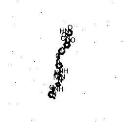 Cc1cccc(C(=O)NC2CC(n3cnc4c(NC5CCN(CCOC6CCN(c7ccc8c(c7)C(=O)N([C@H]7CCC(=O)NC7=O)C8=O)CC6)CC5)ncnc43)C2)n1